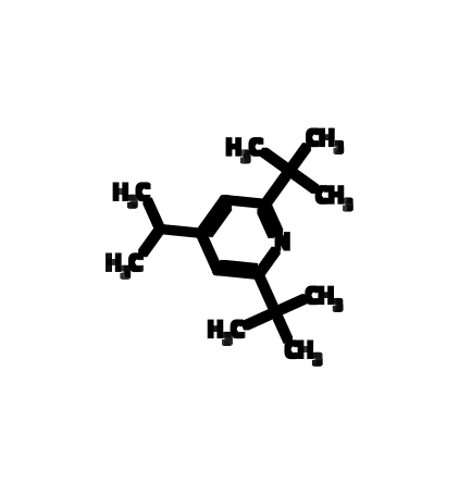 CC(C)c1cc(C(C)(C)C)nc(C(C)(C)C)c1